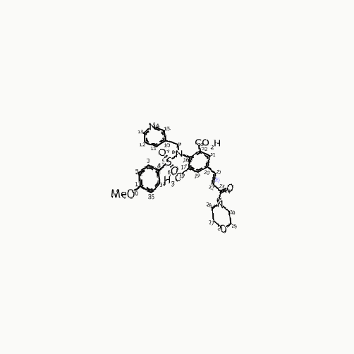 COc1ccc(S(=O)(=O)N(Cc2cccnc2)c2c(C)cc(/C=C/C(=O)N3CCOCC3)cc2C(=O)O)cc1